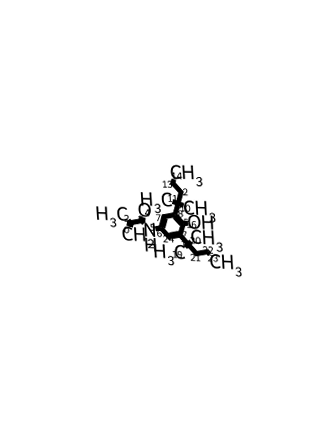 C=C(C)C(=O)Nc1cc(C(C)(C)CCC)c(O)c(C(C)(C)CCC)c1